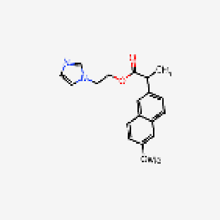 COc1ccc2cc(C(C)C(=O)OCCn3ccnc3)ccc2c1